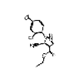 CCOC(=O)c1cnn(-c2ccc(Cl)cc2Cl)c1C#N